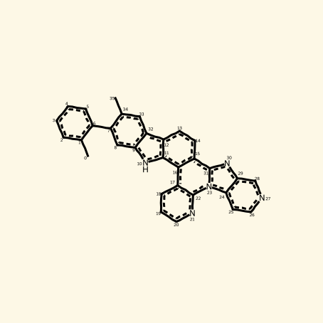 Cc1ccccc1-c1cc2[nH]c3c(ccc4c3c3cccnc3n3c5ccncc5nc43)c2cc1C